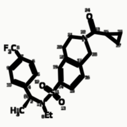 CCN([C@@H](C)c1ccc(C(F)(F)F)cc1)S(=O)(=O)c1ccc2c(c1)CCN(C(=O)C1CC1)C2